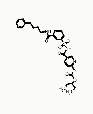 CCC(CC)OC(=O)Oc1ccc(C(=O)NS(=O)(=O)c2cccc(C(=O)NCCCCc3ccccc3)c2)cn1